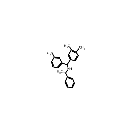 Cc1ccc(C(N[C@@H](C)c2ccccc2)c2cccc([N+](=O)[O-])c2)cc1C